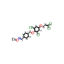 CCO/N=C/c1ccc(COc2c(Cl)cc(OCC=C(Cl)Cl)cc2Cl)cc1